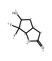 O=C1CC2CC(O)C(F)(F)C2O1